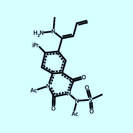 C=C/C=C(/c1cc2c(=O)n(N(C(C)=O)S(C)(=O)=O)c(=O)n(C(C)=O)c2cc1C(C)C)N(C)N